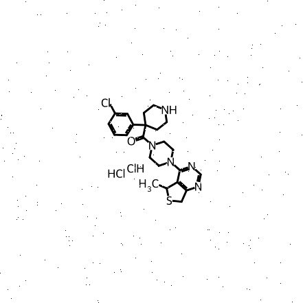 CC1SCc2ncnc(N3CCN(C(=O)C4(c5cccc(Cl)c5)CCNCC4)CC3)c21.Cl.Cl